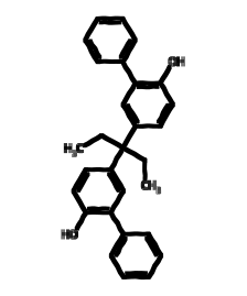 CCC(CC)(c1ccc(O)c(-c2ccccc2)c1)c1ccc(O)c(-c2ccccc2)c1